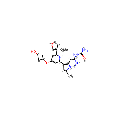 CO[C@@]1(c2cc(OC3CC(O)C3)cc(-c3cc(C)n4cnc(NC(N)=O)cc34)n2)CCOC1